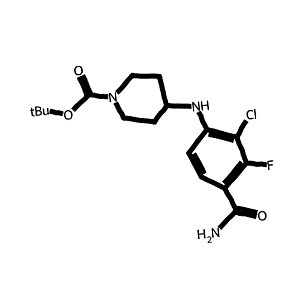 CC(C)(C)OC(=O)N1CCC(Nc2ccc(C(N)=O)c(F)c2Cl)CC1